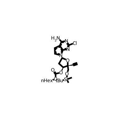 C#C[C@]1(CO[Si](C)(C)C(C)(C)C)O[C@@H](n2ccc3c(N)nc(Cl)nc32)C[C@@H]1OC(=O)OCCCCCC